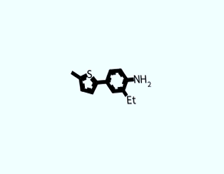 CCc1cc(-c2ccc(C)s2)ccc1N